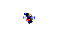 CN(C)c1ccc(F)c(C2=C3C(=O)NC(c4cc(N(C)C)ccc4F)=C3C(=O)N2)c1